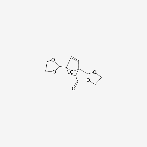 O=CC1CC2(C3OCCO3)C=CC1(C1OCCO1)O2